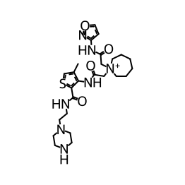 Cc1csc(C(=O)NCCN2CCNCC2)c1NC(=O)C[N+]1(CC(=O)Nc2ccon2)CCCCCC1